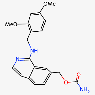 COc1ccc(CNc2nccc3ccc(COC(N)=O)cc23)c(OC)c1